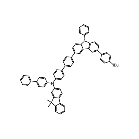 CCC(C)c1ccc(-c2ccc3c(c2)c2cc(-c4ccc(-c5ccc(N(c6ccc(-c7ccccc7)cc6)c6ccc7c(c6)C(C)(C)c6ccccc6-7)cc5)cc4)ccc2n3-c2ccccc2)cc1